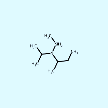 CCC(C)N([SiH2]C)C(C)C